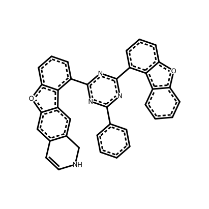 C1=Cc2cc3oc4cccc(-c5nc(-c6ccccc6)nc(-c6cccc7oc8ccccc8c67)n5)c4c3cc2CN1